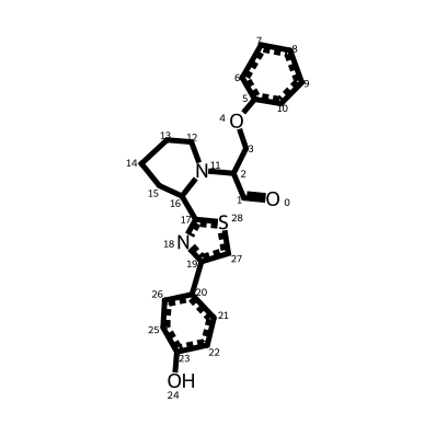 O=CC(COc1ccccc1)N1CCCCC1c1nc(-c2ccc(O)cc2)cs1